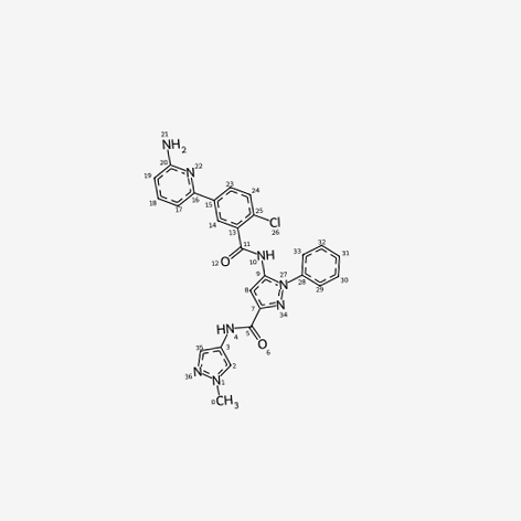 Cn1cc(NC(=O)c2cc(NC(=O)c3cc(-c4cccc(N)n4)ccc3Cl)n(-c3ccccc3)n2)cn1